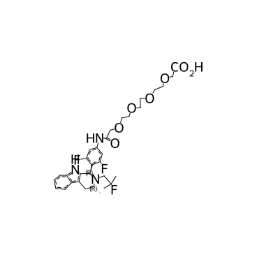 C[C@@H]1Cc2c([nH]c3ccccc23)[C@@H](c2c(F)cc(NC(=O)COCCOCCOCCOCC(=O)O)cc2F)N1CC(C)(C)F